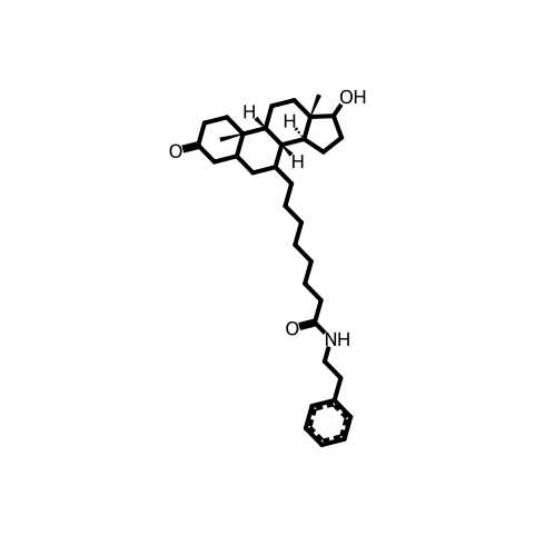 C[C@]12CCC(=O)CC1CC(CCCCCCCC(=O)NCCc1ccccc1)[C@@H]1[C@H]2CC[C@]2(C)C(O)CC[C@@H]12